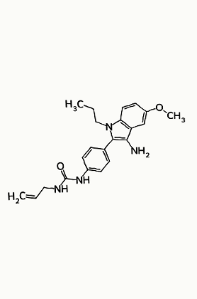 C=CCNC(=O)Nc1ccc(-c2c(N)c3cc(OC)ccc3n2CCC)cc1